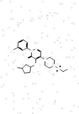 CCS(=O)(=O)N1CCN(c2cnn(-c3cccc(Cl)c3)c(=O)c2OC2CCC(C)C2)CC1